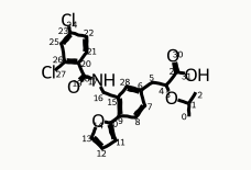 CC(C)OC(Cc1ccc(-c2ccco2)c(CNC(=O)c2ccc(Cl)cc2Cl)c1)C(=O)O